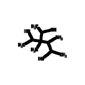 CC(O)C(N)C(N)(C(C)O)C(C)O